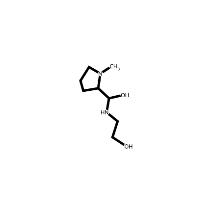 CN1CCCC1C(O)NCCO